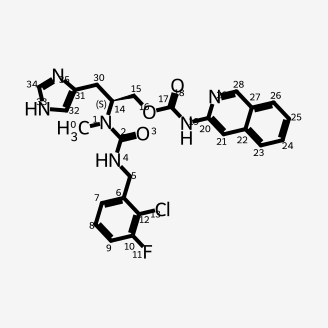 CN(C(=O)NCc1cccc(F)c1Cl)[C@H](COC(=O)Nc1cc2ccccc2cn1)Cc1c[nH]cn1